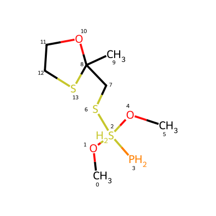 CO[SH2](P)(OC)SCC1(C)OCCS1